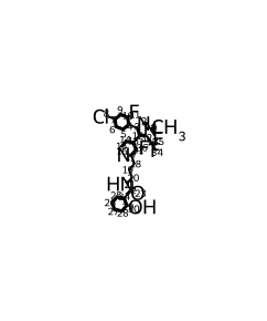 Cn1nc(-c2ccc(Cl)cc2F)c(-c2ccnc(CCCNC(=O)c3ccccc3O)c2)c1C(F)(F)F